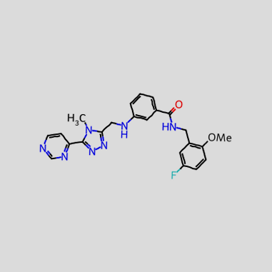 COc1ccc(F)cc1CNC(=O)c1cccc(NCc2nnc(-c3ccncn3)n2C)c1